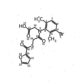 Cc1ccc(Br)c(C)c1N(CC(=O)O)C(=O)CSC(=O)c1ccco1